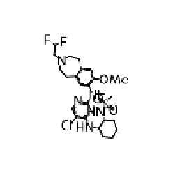 COc1cc2c(cc1Nc1ncc(Cl)c(N[C@@H]3CCCC[C@H]3NS(C)(=O)=O)n1)CCN(CC(F)F)CC2